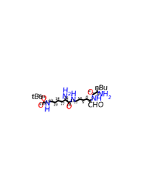 CCCCC(N)C(=O)NC(C=O)CCCCNC(=O)C(N)CCCCNC(=O)OC(C)(C)C